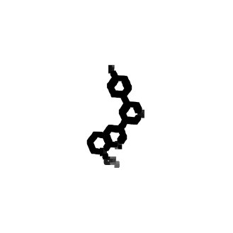 CN1CCCc2cc(-c3cncc(-c4ccc(F)cc4)c3)cnc21